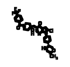 C[C@H]1CN[C@H](c2ccc(-n3c(Cl)cc4c(=O)n(CC5(O)CCN(C(=O)c6ccc(C(F)(F)F)cc6)CC5)cnc43)cc2)CO1